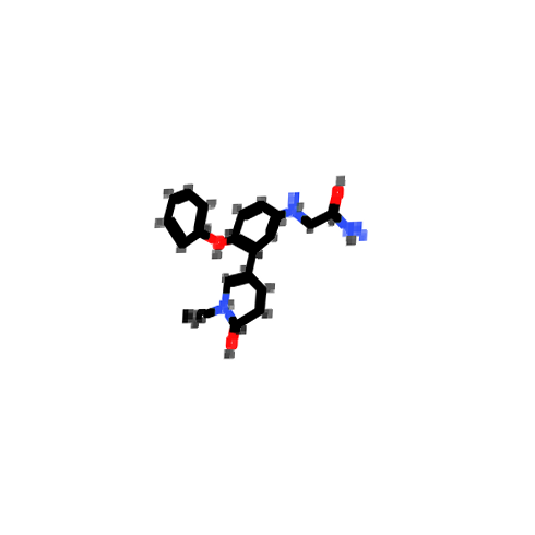 Cn1cc(-c2cc(NCC(N)=O)ccc2Oc2ccccc2)ccc1=O